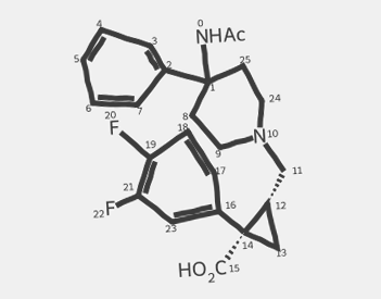 CC(=O)NC1(c2ccccc2)CCN(C[C@@H]2C[C@@]2(C(=O)O)c2ccc(F)c(F)c2)CC1